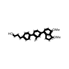 COc1ccc(-c2ccc(-c3ccc(CCCO)cc3)c(F)c2)c2c1C(OC)CC2